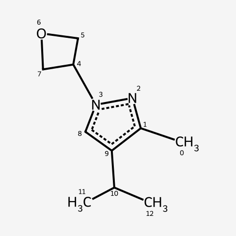 Cc1nn(C2COC2)cc1C(C)C